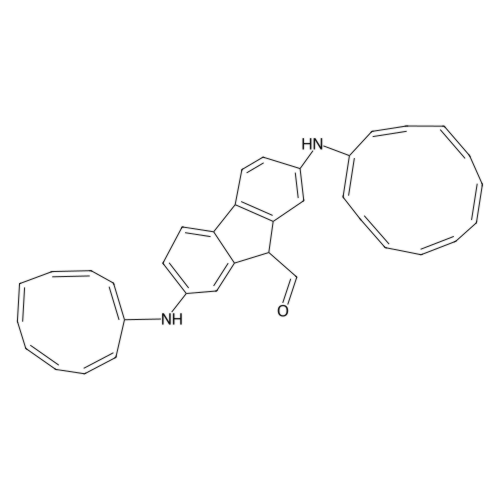 O=CC1c2cc(NC3=C/C=C\C=C/C=C\C=C/C=C\3)ccc2-c2ccc(Nc3ccccccccc3)cc21